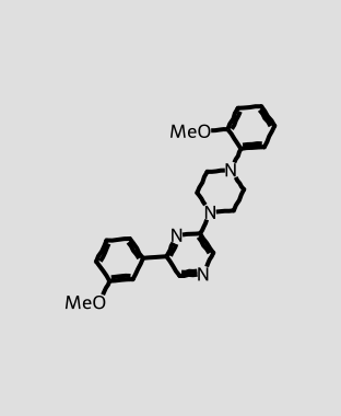 COc1cccc(-c2cncc(N3CCN(c4ccccc4OC)CC3)n2)c1